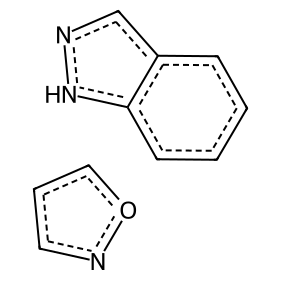 c1ccc2[nH]ncc2c1.c1cnoc1